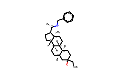 CC[C@H](NCc1ccccc1)C1CC[C@H]2[C@@H]3CC[C@@H]4C[C@@](O)(COC)CC[C@@H]4[C@H]3CC[C@]12C